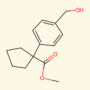 COC(=O)C1(c2ccc(CO)cc2)CCCC1